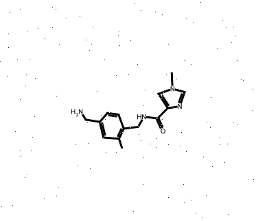 Cc1cc(CN)ccc1CNC(=O)c1cn(C)cn1